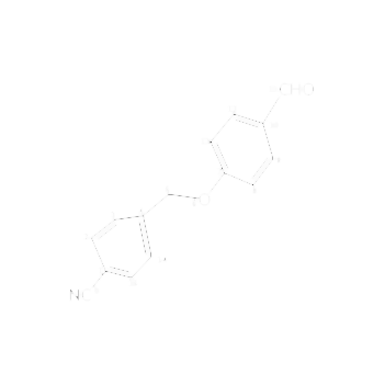 N#Cc1ccc(COc2ccc(C=O)cc2)cc1